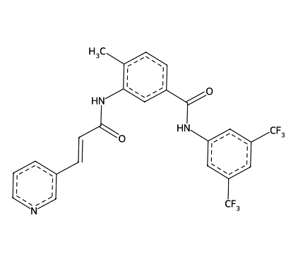 Cc1ccc(C(=O)Nc2cc(C(F)(F)F)cc(C(F)(F)F)c2)cc1NC(=O)C=Cc1cccnc1